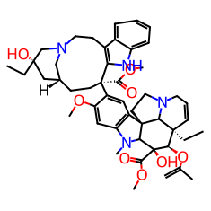 C=C(C)O[C@@H]1[C@]2(CC)C=CCN3CC[C@@]4(c5cc([C@@]6(C(=O)OC)CC[C@H]7CN(CCc8c6[nH]c6ccccc86)C[C@](O)(CC)C7)c(OC)cc5N(C)C4[C@@]1(O)C(=O)OC)C32